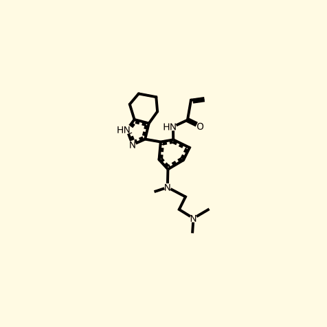 C=CC(=O)Nc1ccc(N(C)CCN(C)C)cc1-c1n[nH]c2c1CCCC2